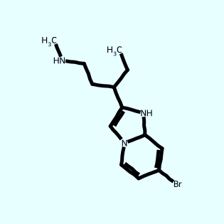 CCC(CCNC)C1=CN2C=CC(Br)=CC2N1